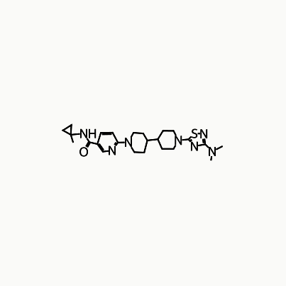 CN(C)c1nsc(N2CCC(C3CCN(c4ccc(C(=O)NC5(C)CC5)cn4)CC3)CC2)n1